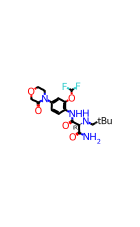 CC(C)(C)CN[C@H](C(N)=O)C(=O)Nc1ccc(N2CCOCC2=O)cc1OC(F)F